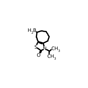 BC1CCCCc2c(sc(=O)n2C(C)C)C1